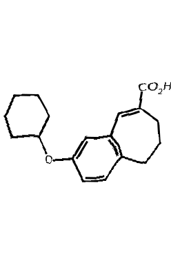 O=C(O)C1=Cc2cc(OC3CCCCC3)ccc2CCC1